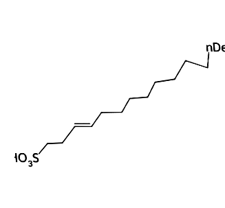 CCCCCCCCCCCCCCCCCCC=CCCS(=O)(=O)O